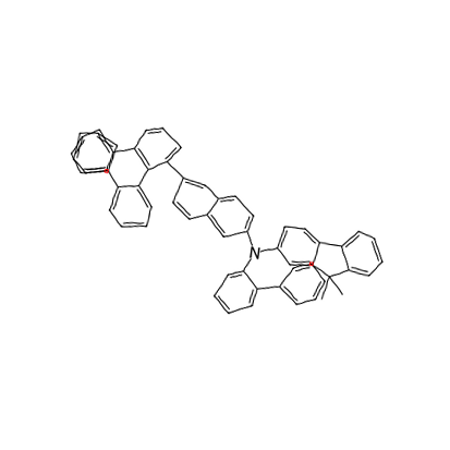 CC1(C)c2ccccc2-c2ccc(N(c3ccc4cc(-c5cccc(-c6ccccc6)c5-c5ccccc5-c5ccccc5)ccc4c3)c3ccccc3-c3ccccc3)cc21